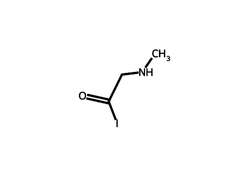 CNCC(=O)I